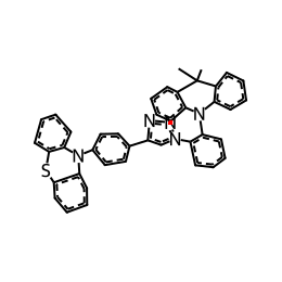 CC1(C)c2ccccc2N(c2ccccc2-n2cc(-c3ccc(N4c5ccccc5Sc5ccccc54)cc3)nn2)c2ccccc21